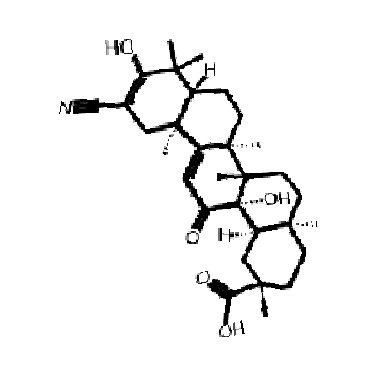 CC1(C)C(O)=C(C#N)C[C@]2(C)C3=CC(=O)[C@]4(O)[C@@H]5C[C@@](C)(C(=O)O)CC[C@]5(C)CC[C@@]4(C)[C@]3(C)CC[C@@H]12